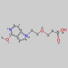 COc1nccc2c1ccn2CCOCCC(=O)O